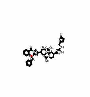 COc1ccccc1C(=O)n1nc(C2CC[N+](C3CC(c4n[nH]c(NCc5ccc(Cl)s5)n4)CCN3C(=O)O)(C(C)(C)C)CC2)nc1NCc1ccccc1